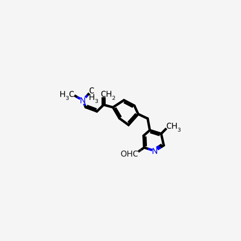 C=C(/C=C\N(C)C)c1ccc(Cc2cc(C=O)ncc2C)cc1